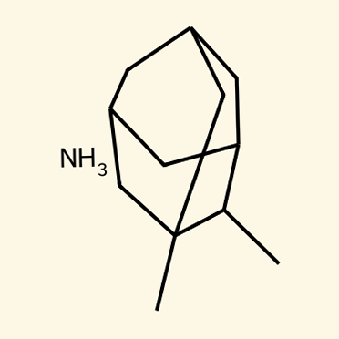 CC1C2CC3CC(C2)CC1(C)C3.N